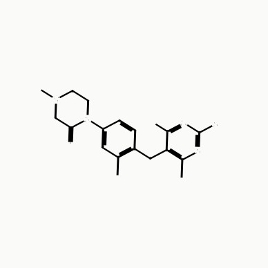 Cc1cc(N2CCN(C)CC2=O)ccc1Cc1c(C)nc(N)nc1O